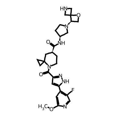 COc1cc(-c2cc(C(=O)N3CC[C@H](C(=O)N[C@H]4CCN([C@@H]5COC56CNC6)C4)CC34CC4)n[nH]2)c(F)cn1